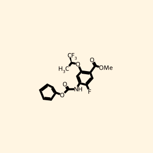 COC(=O)c1cc(F)c(NC(=O)Oc2ccccc2)cc1O[C@@H](C)C(F)(F)F